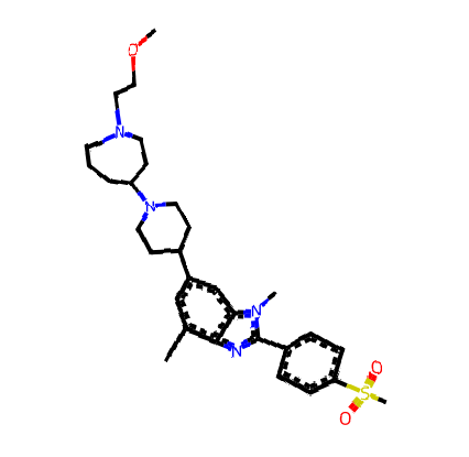 COCCN1CCCC(N2CCC(c3cc(C)c4nc(-c5ccc(S(C)(=O)=O)cc5)n(C)c4c3)CC2)CC1